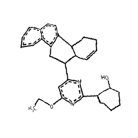 CCOc1cc(C2Cc3c(ccc4ccccc34)C3CCC=CC23)nc(C2CCCCC2O)n1